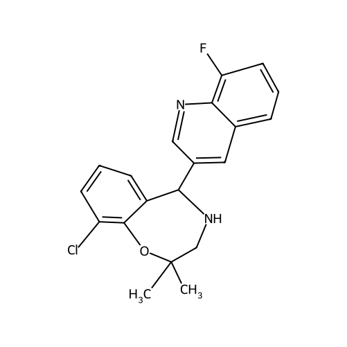 CC1(C)CNC(c2cnc3c(F)cccc3c2)c2cccc(Cl)c2O1